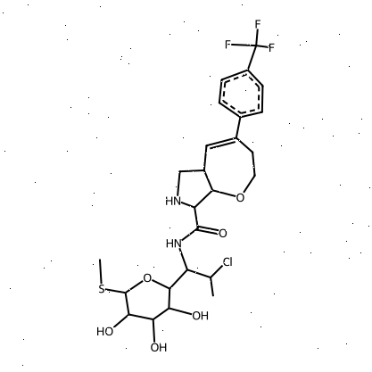 CSC1OC(C(NC(=O)C2NCC3C=C(c4ccc(C(F)(F)F)cc4)CCOC32)C(C)Cl)C(O)C(O)C1O